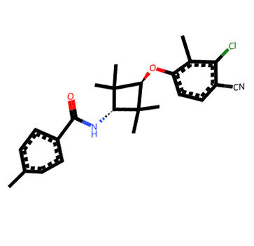 Cc1ccc(C(=O)N[C@H]2C(C)(C)[C@H](Oc3ccc(C#N)c(Cl)c3C)C2(C)C)cc1